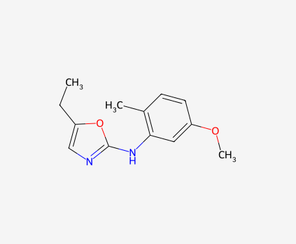 CCc1cnc(Nc2cc(OC)ccc2C)o1